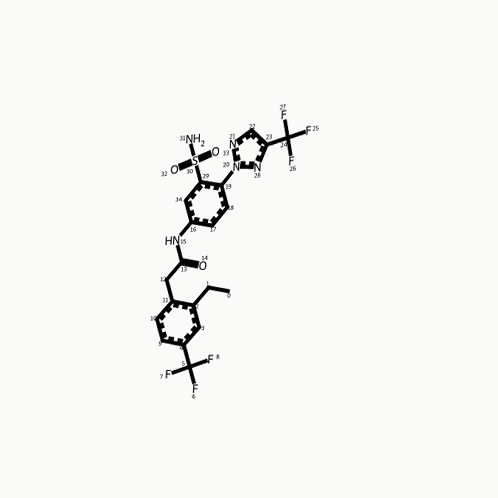 CCc1cc(C(F)(F)F)ccc1CC(=O)Nc1ccc(-n2ncc(C(F)(F)F)n2)c(S(N)(=O)=O)c1